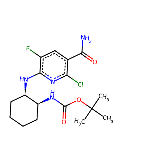 CC(C)(C)OC(=O)N[C@H]1CCCC[C@H]1Nc1nc(Cl)c(C(N)=O)cc1F